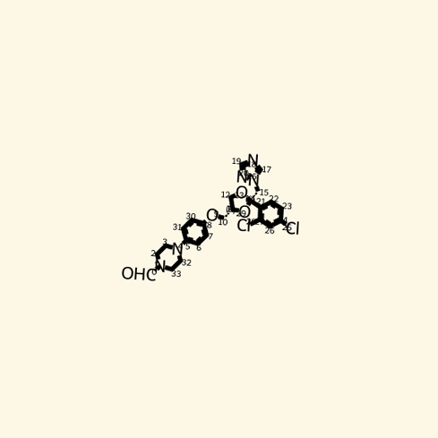 O=CN1CCN(c2ccc(OC[C@@H]3CO[C@@](Cn4cncn4)(c4ccc(Cl)cc4Cl)O3)cc2)CC1